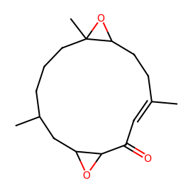 C/C1=C\C(=O)C2OC2CC(C)CCCC2(C)OC2CC1